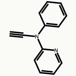 C#CN(c1ccccc1)c1ccccn1